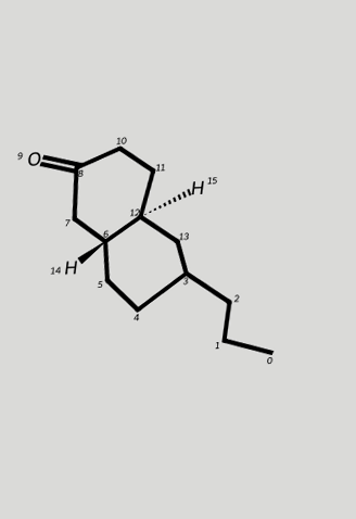 CCCC1CC[C@@H]2CC(=O)CC[C@H]2C1